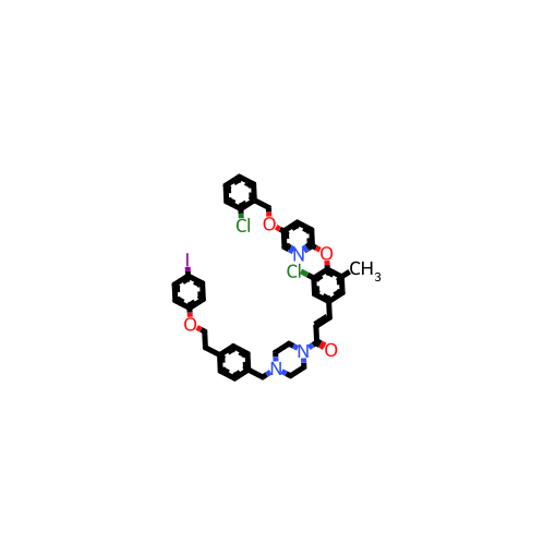 Cc1cc(C=CC(=O)N2CCN(Cc3ccc(CCOc4ccc(I)cc4)cc3)CC2)cc(Cl)c1Oc1ccc(OCc2ccccc2Cl)cn1